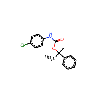 CC(OC(=O)Nc1ccc(Cl)cc1)(C(=O)O)c1ccccc1